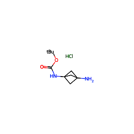 CC(C)(C)OC(=O)NC12CC(N)(C1)C2.Cl